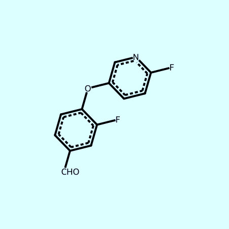 O=Cc1ccc(Oc2ccc(F)nc2)c(F)c1